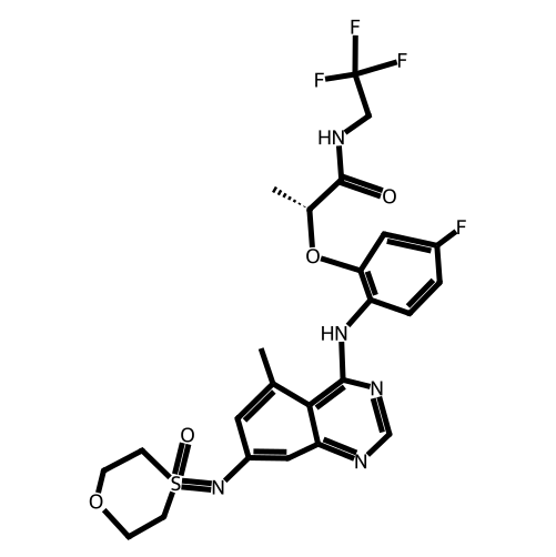 Cc1cc(N=S2(=O)CCOCC2)cc2ncnc(Nc3ccc(F)cc3O[C@H](C)C(=O)NCC(F)(F)F)c12